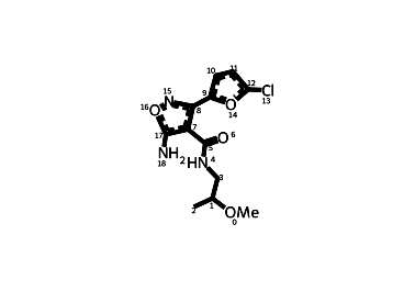 COC(C)CNC(=O)c1c(-c2ccc(Cl)o2)noc1N